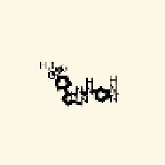 CS(=O)(=O)c1ccc(-c2ccc3cnc(Nc4ccc5nc[nH]c5c4)nn23)cc1